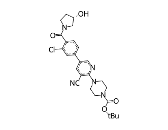 CC(C)(C)OC(=O)N1CCN(c2ncc(-c3ccc(C(=O)N4CC[C@H](O)C4)c(Cl)c3)cc2C#N)CC1